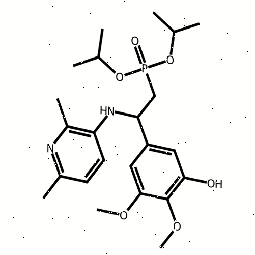 COc1cc(C(CP(=O)(OC(C)C)OC(C)C)Nc2ccc(C)nc2C)cc(O)c1OC